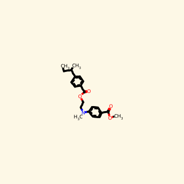 CCC(C)c1ccc(C(=O)OCCN(C)c2ccc(C(=O)OC)cc2)cc1